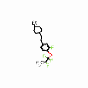 CCC1CCC(CCc2ccc(OC(F)(F)C(F)C(F)(F)F)c(F)c2)CC1